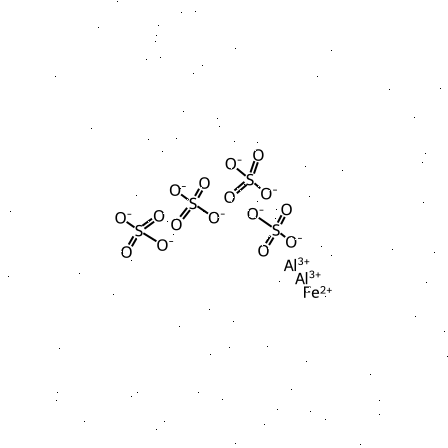 O=S(=O)([O-])[O-].O=S(=O)([O-])[O-].O=S(=O)([O-])[O-].O=S(=O)([O-])[O-].[Al+3].[Al+3].[Fe+2]